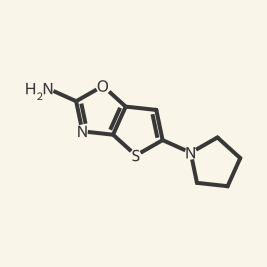 Nc1nc2sc(N3CCCC3)cc2o1